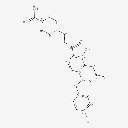 CN(C)Cc1c(OCc2ccc(F)cc2)ccc2c(CCC3CCN(C(=O)O)CC3)noc12